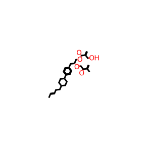 C=C(C)C(=O)COC(COC(=O)C(=C)CO)Cc1ccc(C2CCC(CC/C=C/C)CC2)cc1